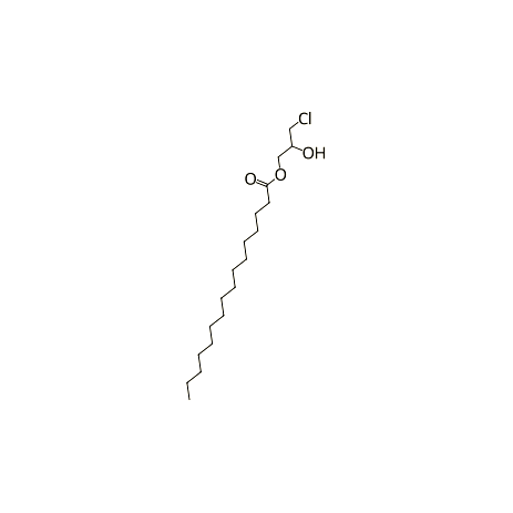 CCCCCCCCCCCCCCCC(=O)OCC(O)CCl